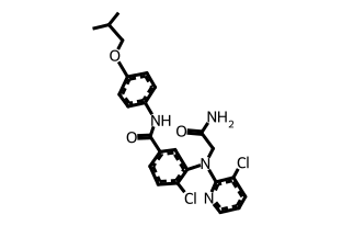 CC(C)COc1ccc(NC(=O)c2ccc(Cl)c(N(CC(N)=O)c3ncccc3Cl)c2)cc1